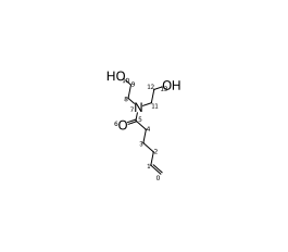 C=CCCCC(=O)N(CCO)CCO